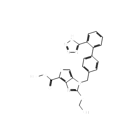 CCSc1nc2c(C(=O)OC)scc2n1Cc1ccc(-c2ccccc2-c2nnn[nH]2)cc1